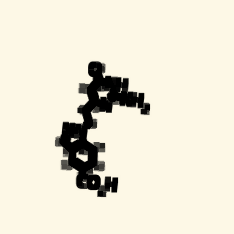 Nc1nc(CCn2ncc3cc(C(=O)O)ccc32)cc(=O)[nH]1